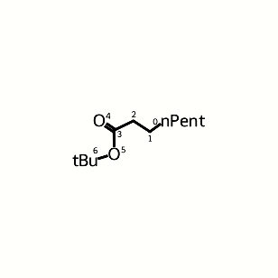 CCCCCCCC(=O)OC(C)(C)C